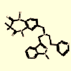 CCN1C(=O)C(C)(C)C(=O)N(C)c2cc(CN(CCc3cccnc3)Cc3nn(C)c4ccccc34)ccc21